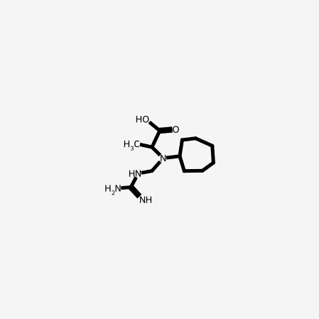 CC(C(=O)O)N(CNC(=N)N)C1CCCCCC1